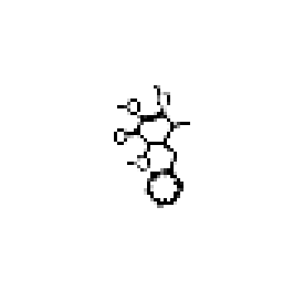 COC1=C(OC)C(C)C(Cc2ccccc2)C(OC)C1=O